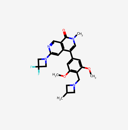 COc1cc(-c2cn(C)c(=O)c3cnc(N4CC(F)(F)C4)cc23)cc(OC)c1CN1CC(C)C1